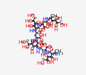 CN[C@H](C(=O)N[C@@H](CC(=O)N[C@H](C(=O)N[C@@H](CC(=O)N[C@H](C(=O)N[C@@H](CC(=O)N[C@H](C)[C@@H](O)[C@H](O)[C@H](O)CO)C(=O)O)[C@@H](O)[C@H](O)[C@H](O)CO)C(=O)O)[C@@H](O)[C@H](O)[C@H](O)CO)C(=O)O)[C@@H](O)[C@H](O)[C@H](O)CO